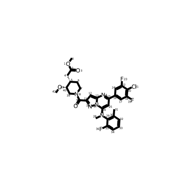 COC(=O)C[C@@H]1CCN(C(=O)c2cc3nc(-c4cc(F)c(Cl)c(F)c4)cc(N(C)c4c(C)cccc4F)n3n2)C[C@@H]1OC